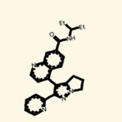 CCC(CC)NC(=O)c1ccc2c(-c3c(-c4ccccn4)nn4c3CCC4)ccnc2c1